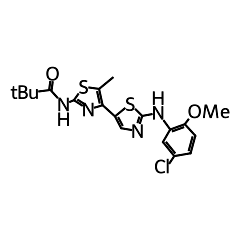 COc1ccc(Cl)cc1Nc1ncc(-c2nc(NC(=O)C(C)(C)C)sc2C)s1